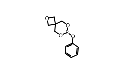 c1ccc(OP2OCC3(COC3)CO2)cc1